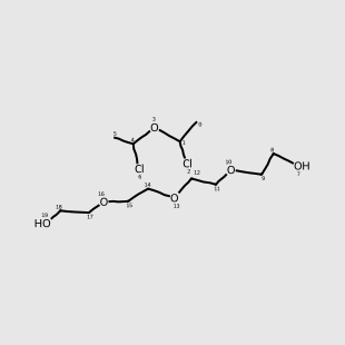 CC(Cl)OC(C)Cl.OCCOCCOCCOCCO